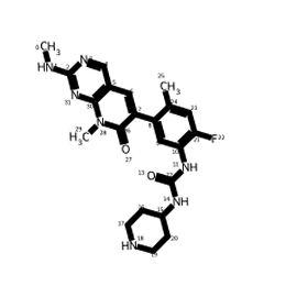 CNc1ncc2cc(-c3cc(NC(=O)NC4CCNCC4)c(F)cc3C)c(=O)n(C)c2n1